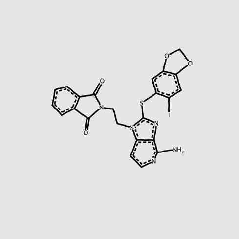 Nc1nccc2c1nc(Sc1cc3c(cc1I)OCO3)n2CCN1C(=O)c2ccccc2C1=O